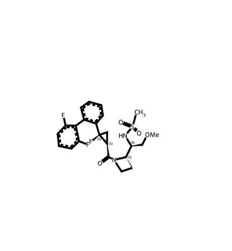 COC[C@H](NS(C)(=O)=O)[C@@H]1CCN1C(=O)[C@@H]1C[C@@]1(F)c1ccccc1-c1c(F)cccc1F